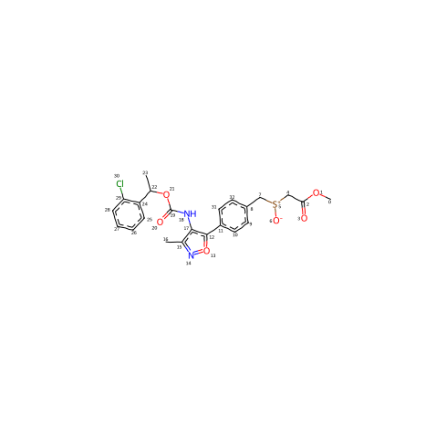 COC(=O)C[S+]([O-])Cc1ccc(-c2onc(C)c2NC(=O)OC(C)c2ccccc2Cl)cc1